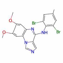 COc1cc2nc(Nc3c(Br)cc(C)cc3Br)c3cncn3c2cc1OC